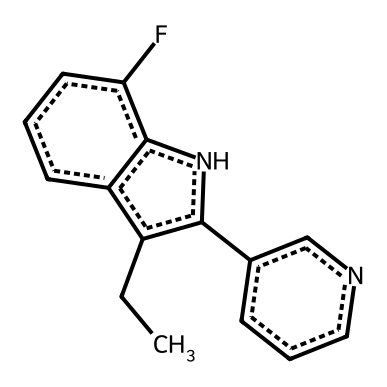 CCc1c(-c2cccnc2)[nH]c2c(F)cccc12